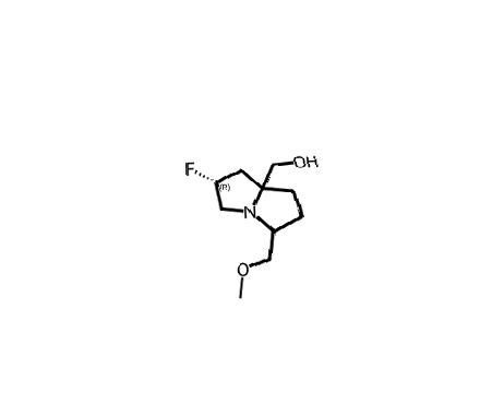 COCC1CCC2(CO)C[C@@H](F)CN12